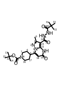 Cc1nn2c(C3CCN(C(=O)OC(C)(C)C)CC3)cc(=O)[nH]c2c1C(=O)NNC(=O)C(C)(C)C